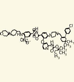 CC1(C)CCC(CN2CCN(c3ccc(C(=O)NS(=O)(=O)c4ccc(NCC5CCN(C6CCOCC6)CC5)c([N+](=O)[O-])c4)c(Oc4ccnc(NC(=O)OC(C)(C)C)c4)c3)CC2)=C(c2ccc(Cl)cc2)C1